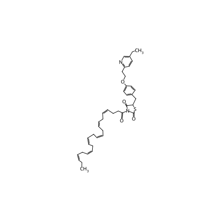 CC/C=C\C/C=C\C/C=C\C/C=C\C/C=C\C/C=C\CCC(=O)N1C(=O)SC(Cc2ccc(OCCc3ccc(CC)cn3)cc2)C1=O